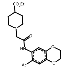 CCOC(=O)C1CCN(CC(=O)Nc2cc3c(cc2C(C)=O)OCCO3)CC1